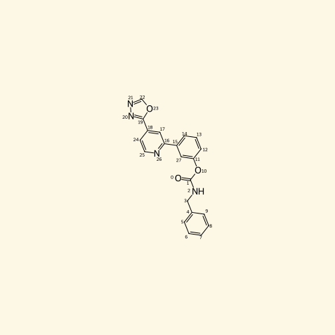 O=C(NCc1ccccc1)Oc1cccc(-c2cc(-c3nnco3)ccn2)c1